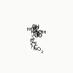 O=[N+]([O-])c1ccc(OCCC(COP(=O)(O)O)OP(=O)(O)O)cc1